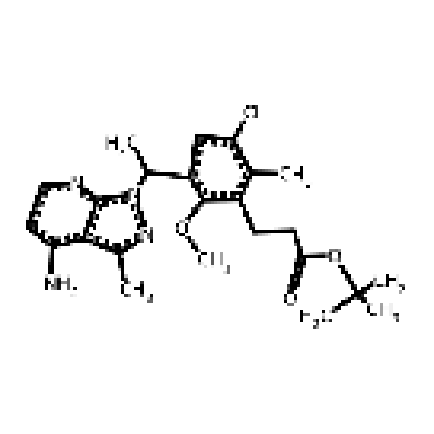 COc1c(C(C)n2nc(C)c3c(N)ccnc32)cc(Cl)c(C)c1CCC(=O)OC(C)(C)C